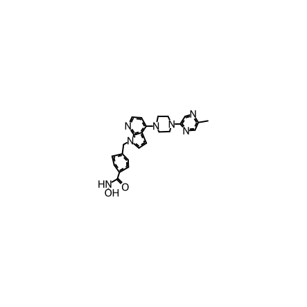 Cc1cnc(N2CCN(c3ccnc4c3ccn4Cc3ccc(C(=O)NO)cc3)CC2)cn1